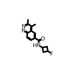 Cc1nnc2ccc(C(=O)NC3CC(F)C3)cc2c1C